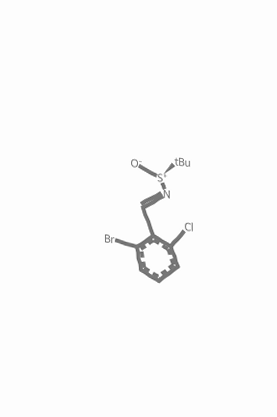 CC(C)(C)[S@+]([O-])/N=C/c1c(Cl)cccc1Br